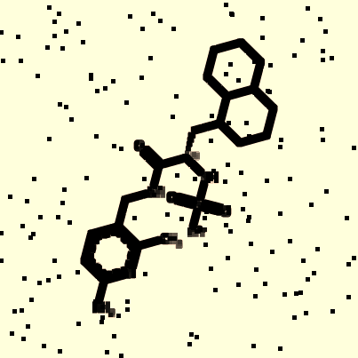 CCCS(=O)(=O)N[C@@H](CC1CCCC2CCCCC21)C(=O)NCc1ccc(N)nc1C